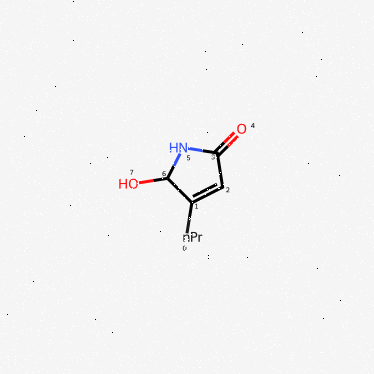 CCCC1=CC(=O)NC1O